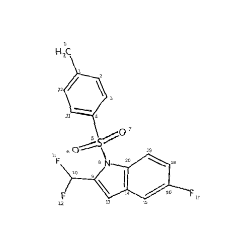 Cc1ccc(S(=O)(=O)n2c(C(F)F)cc3cc(F)ccc32)cc1